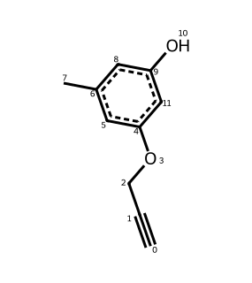 C#CCOc1cc(C)cc(O)c1